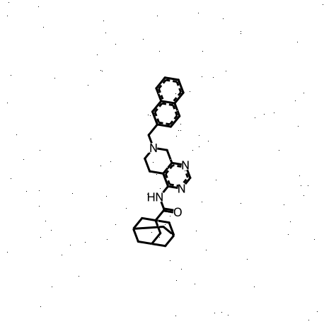 O=C(Nc1ncnc2c1CCN(Cc1ccc3ccccc3c1)C2)C12CC3CC(CC(C3)C1)C2